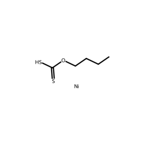 CCCCOC(=S)S.[Ni]